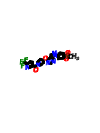 CS(=O)(=O)c1ccc(-n2ncc3c(OC4CCN(C(=O)c5ccc(C(F)(F)F)nc5)CC4)ncnc32)cc1